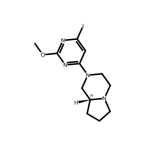 COc1nc(I)cc(N2CCN3CCC[C@@H]3C2)n1